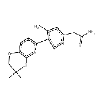 CC1(C)COc2ccc(-c3cnc(CC(N)=O)cc3N)nc2O1